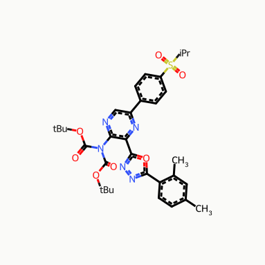 Cc1ccc(-c2nnc(-c3nc(-c4ccc(S(=O)(=O)C(C)C)cc4)cnc3N(C(=O)OC(C)(C)C)C(=O)OC(C)(C)C)o2)c(C)c1